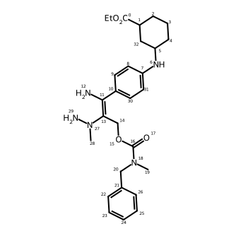 CCOC(=O)C1CCCC(Nc2ccc(/C(N)=C(\COC(=O)N(C)Cc3ccccc3)N(C)N)cc2)C1